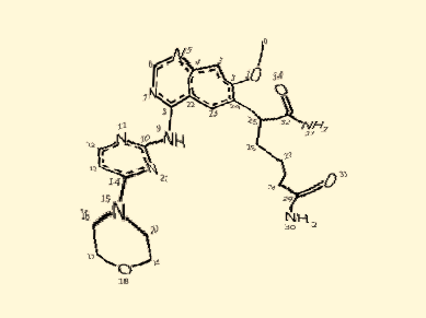 COc1cc2ncnc(Nc3nccc(N4CCOCC4)n3)c2cc1C(CCCC(N)=O)C(N)=O